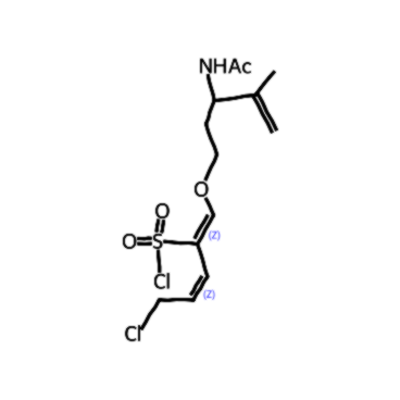 C=C(C)C(CCO/C=C(/C=C\CCl)S(=O)(=O)Cl)NC(C)=O